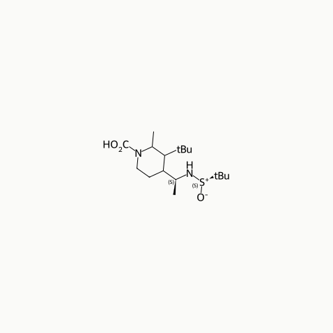 CC1C(C(C)(C)C)C([C@H](C)N[S@+]([O-])C(C)(C)C)CCN1C(=O)O